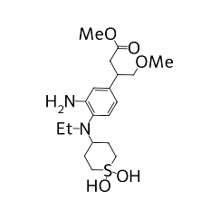 CCN(c1ccc(C(COC)CC(=O)OC)cc1N)C1CCS(O)(O)CC1